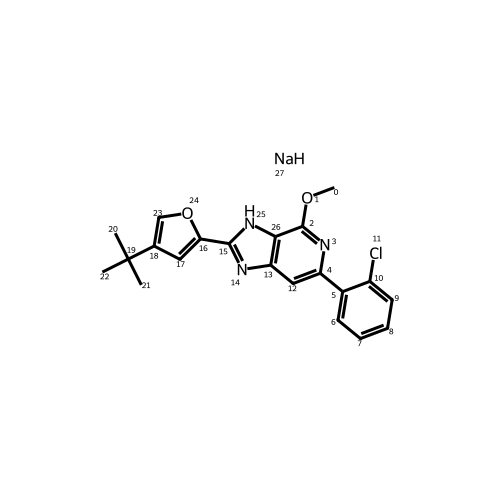 COc1nc(-c2ccccc2Cl)cc2nc(-c3cc(C(C)(C)C)co3)[nH]c12.[NaH]